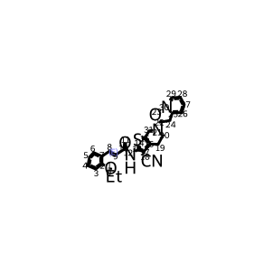 CCOc1ccccc1/C=C/C(=O)Nc1sc2c(c1C#N)CCN(C(=O)Cc1ccccn1)C2